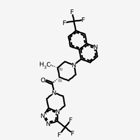 C[C@@H]1CN(c2ccnc3cc(C(F)(F)F)ccc23)CC[C@@H]1C(=O)N1CCn2c(nnc2C(F)(F)F)C1